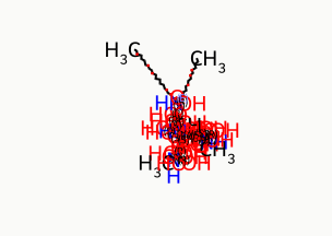 CCCCCCCCCCCCC/C=C/[C@@H](O)[C@H](CO[C@@H]1OC(CO)[C@@H](O[C@@H]2OC(CO)[C@H](O)[C@H](O[C@@H]3OC(CO[C@]4(C(=O)O)CC(O)[C@@H](NC(C)=O)C([C@H](O)[C@H](O)CO)O4)[C@@H](O)[C@H](O[C@@H]4OC(CO)[C@H](O)[C@H](O[C@]5(C(=O)O)CC(O)[C@@H](NC(C)=O)C([C@H](O)[C@H](O)CO)O5)C4O)C3NC(C)=O)C2O)[C@H](O)C1O)NC(=O)CCCCCCCCCCCCCCCCCCCCC